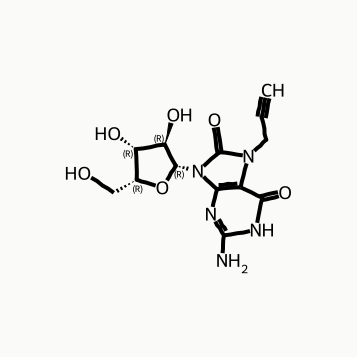 C#CCn1c(=O)n([C@@H]2O[C@H](CO)[C@H](O)[C@H]2O)c2nc(N)[nH]c(=O)c21